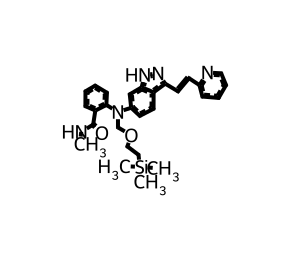 CNC(=O)c1ccccc1N(COCC[Si](C)(C)C)c1ccc2c(C=Cc3ccccn3)n[nH]c2c1